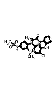 C=CC(=O)Nc1ccccc1Nc1nc(Nc2ccc(NS(C)(=O)=O)cc2OC)ncc1Cl